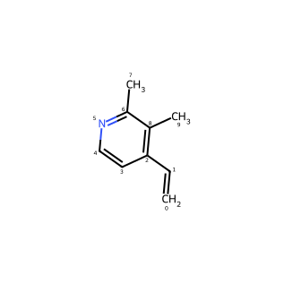 C=Cc1ccnc(C)c1C